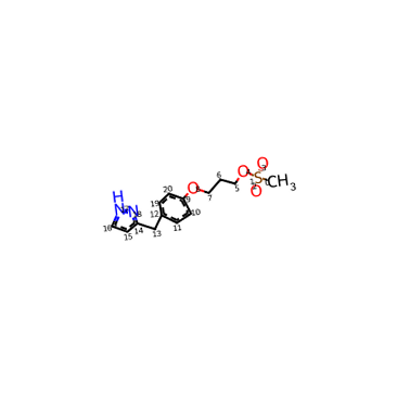 CS(=O)(=O)OCCCOc1ccc(Cc2cc[nH]n2)cc1